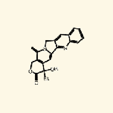 C=C1C2=C(C=C3c4nc5ccccc5cc4CN13)[C@@](O)(CC)C(=O)OC2